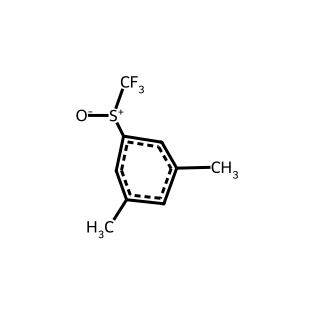 Cc1cc(C)cc([S+]([O-])C(F)(F)F)c1